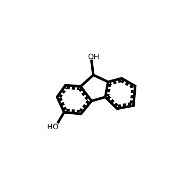 Oc1ccc2c(c1)-c1ccccc1C2O